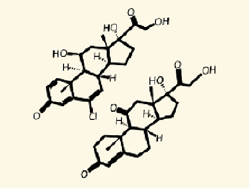 C[C@]12C=CC(=O)C=C1C(Cl)=C[C@@H]1[C@@H]2[C@@H](O)C[C@@]2(C)[C@H]1CC[C@]2(O)C(=O)CO.C[C@]12CCC(=O)C=C1CC[C@@H]1[C@@H]2C(=O)C[C@@]2(C)[C@H]1CC[C@]2(O)C(=O)CO